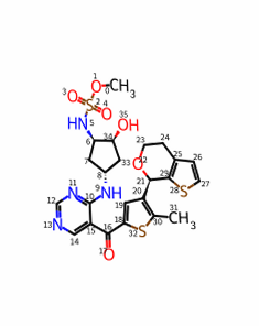 COS(=O)(=O)N[C@@H]1C[C@@H](Nc2ncncc2C(=O)c2cc([C@H]3OCCc4ccsc43)c(C)s2)C[C@@H]1O